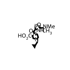 CNC(C)C(=O)NC(C(=O)N1CCN(CC2CC2)CC1C(=O)O)C(C)C